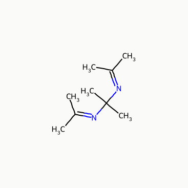 CC(C)=NC(C)(C)N=C(C)C